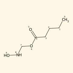 CCCCC(=O)OCNO